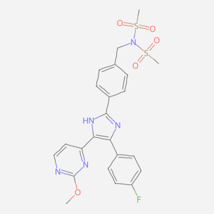 COc1nccc(-c2[nH]c(-c3ccc(CN(S(C)(=O)=O)S(C)(=O)=O)cc3)nc2-c2ccc(F)cc2)n1